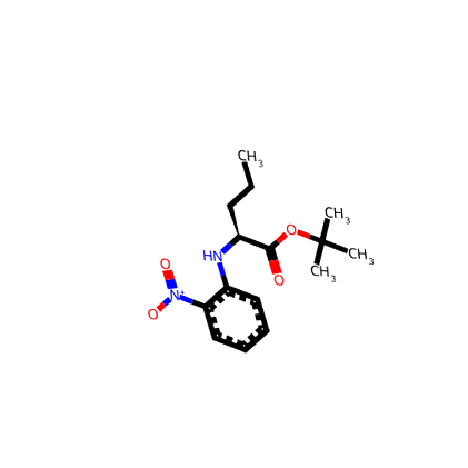 CCC[C@H](Nc1ccccc1[N+](=O)[O-])C(=O)OC(C)(C)C